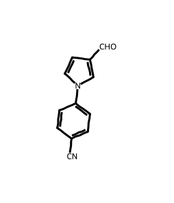 N#Cc1ccc(-n2ccc(C=O)c2)cc1